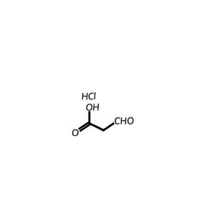 Cl.O=CCC(=O)O